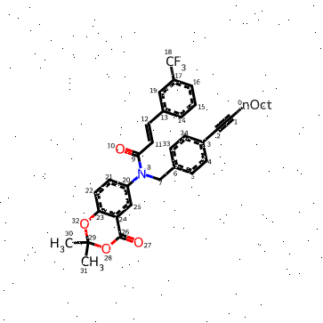 CCCCCCCCC#Cc1ccc(CN(C(=O)/C=C/c2cccc(C(F)(F)F)c2)c2ccc3c(c2)C(=O)OC(C)(C)O3)cc1